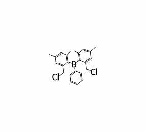 Cc1cc(C)c(B(c2ccccc2)c2c(C)cc(C)cc2CCl)c(CCl)c1